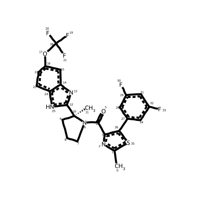 Cc1nc(C(=O)N2CCC[C@@]2(C)c2nc3cc(OC(F)(F)F)ccc3[nH]2)c(-c2cc(F)cc(F)c2)s1